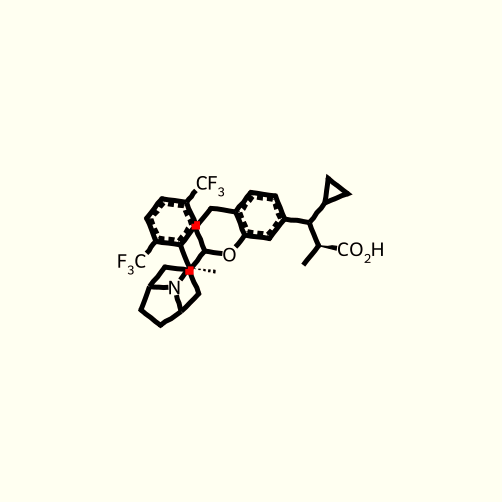 C[C@H](C(=O)O)C(c1ccc2c(c1)OC(C1CC3CCC(C1)N3[C@@H](C)c1cc(C(F)(F)F)ccc1C(F)(F)F)CC2)C1CC1